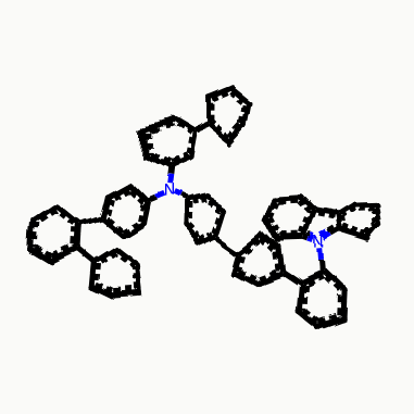 c1ccc(-c2cccc(N(c3ccc(-c4ccc(-c5ccccc5-n5c6ccccc6c6ccccc65)cc4)cc3)c3ccc(-c4ccccc4-c4ccccc4)cc3)c2)cc1